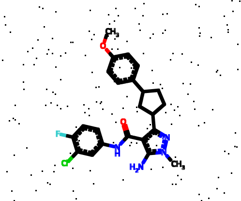 COc1ccc(C2CCC(c3nn(C)c(N)c3C(=O)Nc3ccc(F)c(Cl)c3)C2)cc1